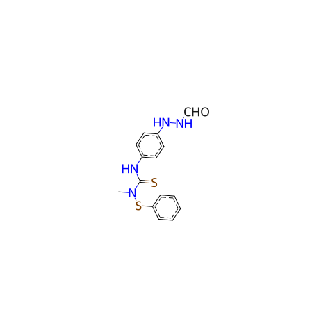 CN(Sc1ccccc1)C(=S)Nc1ccc(NNC=O)cc1